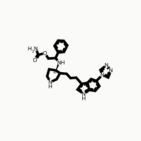 NC(=O)OCC(N[C@@H]1CCNCC1CCCc1c[nH]c2ccc(-n3cnnc3)cc12)c1ccccc1